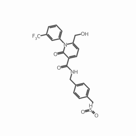 O=C(NCc1ccc(C[SH](=O)=O)cc1)c1ccc(CO)n(-c2cccc(C(F)(F)F)c2)c1=O